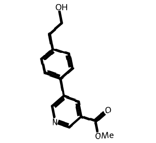 COC(=O)c1cncc(-c2ccc(CCO)cc2)c1